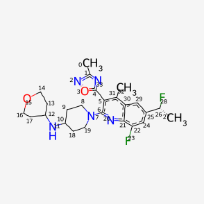 Cc1noc(-c2c(N3CCC(NC4CCOCC4)CC3)nc3c(F)cc([C@@H](C)F)cc3c2C)n1